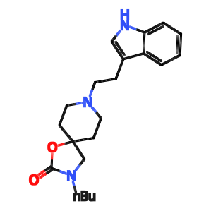 CCCCN1CC2(CCN(CCc3c[nH]c4ccccc34)CC2)OC1=O